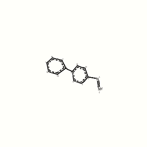 N=Nc1ccc(-c2ccccc2)cc1